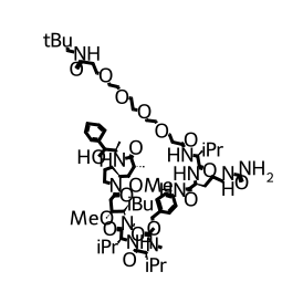 CC[C@H](C)[C@@H]([C@@H](CC(=O)N1CCC[C@H]1[C@H](OC)[C@@H](C)C(=O)N[C@H](C)C(O)c1ccccc1)OC)N(C)C(=O)[C@@H](NC(=O)[C@H](C(C)C)N(C)C(=O)OCc1ccc(NC(=O)[C@H](CCCNC(N)=O)NC(=O)[C@@H](NC(=O)CCOCCOCCOCCOCCC(=O)NCC(C)(C)C)C(C)C)cc1)C(C)C